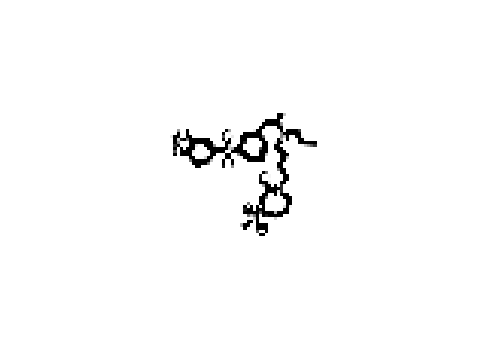 CCCN(CCCCN1CCCN(S(C)(=O)=O)CC1=O)C(C)Cc1cccc(S(=O)(=O)c2ccc3c(c2)OCO3)c1